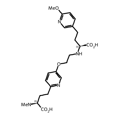 CN[C@@H](CCc1ccc(OCCN[C@@H](CCc2ccc(OC)nc2)C(=O)O)cn1)C(=O)O